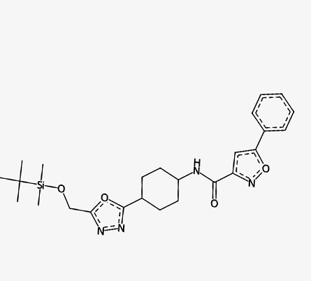 CC(C)(C)[Si](C)(C)OCc1nnc(C2CCC(NC(=O)c3cc(-c4ccccc4)on3)CC2)o1